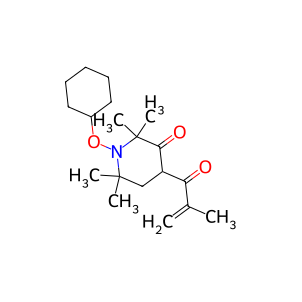 C=C(C)C(=O)C1CC(C)(C)N(OC2CCCCC2)C(C)(C)C1=O